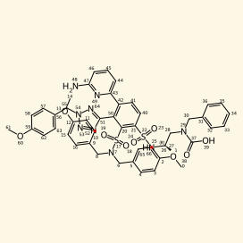 COc1ccc(CN(Cc2ccc(OC)cc2)S(=O)(=O)c2c(S(=O)(=O)N[C@H](C)CN(Cc3ccccc3)C(=O)O)ccc(-c3cccc(N)n3)c2-c2nnn(Cc3ccc(OC)cc3)n2)cc1